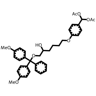 COc1ccc(C(OCC(O)CCCCOc2ccc(C(OC(C)=O)OC(C)=O)cc2)(c2ccccc2)c2ccc(OC)cc2)cc1